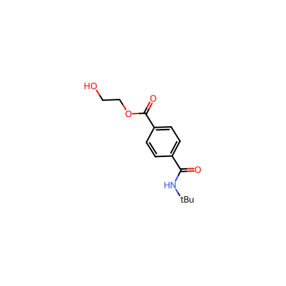 CC(C)(C)NC(=O)c1ccc(C(=O)OCCO)cc1